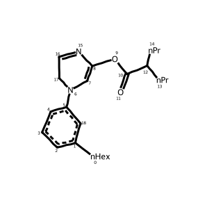 CCCCCCc1cccc(N2C=C(OC(=O)C(CCC)CCC)N=CC2)c1